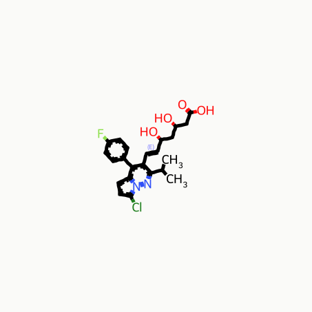 CC(C)c1nn2c(Cl)ccc2c(-c2ccc(F)cc2)c1/C=C/C(O)CC(O)CC(=O)O